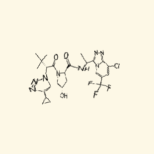 CC(NC(=O)[C@H]1C[C@H](O)CN1C(=O)[C@H](n1cc(C2CC2)nn1)C(C)(C)C)c1nnc2c(Cl)cc(C(F)(F)F)cn12